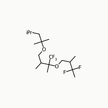 CC(C)CC(C)(C)OCC(C)C(C)(OCC(C)C(C)(F)F)C(F)(F)F